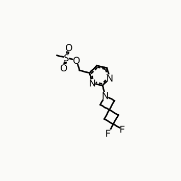 CS(=O)(=O)OCc1ccnc(N2CC3(C2)CC(F)(F)C3)n1